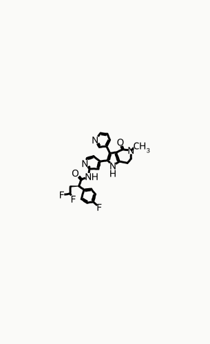 CN1CCc2[nH]c(-c3ccnc(NC(=O)[C@H](CC(F)F)c4ccc(F)cc4)c3)c(-c3cccnc3)c2C1=O